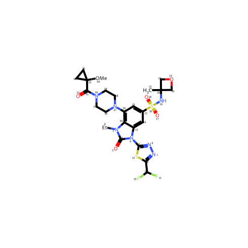 CCn1c(=O)n(-c2nnc(C(F)F)s2)c2cc(S(=O)(=O)NC3(C)COC3)cc(N3CCN(C(=O)C4(OC)CC4)CC3)c21